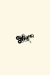 CC(OC(=O)CNC=O)N1C(=O)NC(c2ccccc2)(c2ccccc2)C1=O